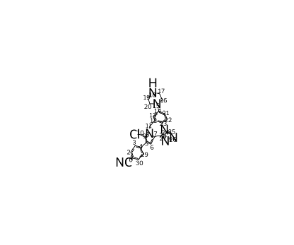 N#Cc1ccc(-c2cc3n(c2Cl)Cc2cc(N4CCNCC4)ccc2-n2cnnc2-3)cc1